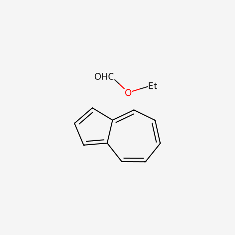 CCOC=O.c1ccc2cccc-2cc1